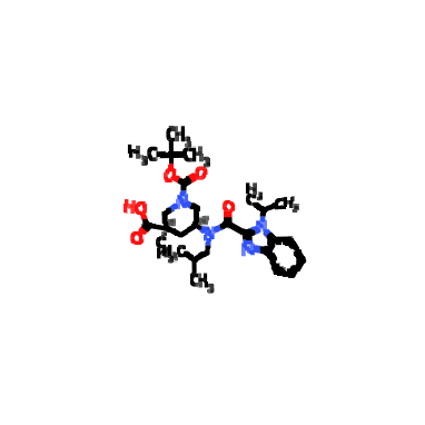 CC(C)CN(C(=O)c1nc2ccccc2n1C(C)C)[C@@H]1CN(C(=O)OC(C)(C)C)C[C@](C)(C(=O)O)C1